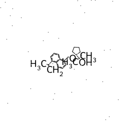 C=C(C)c1cccc2c(COC3(C(C)(C)O)CCCC3)cccc12